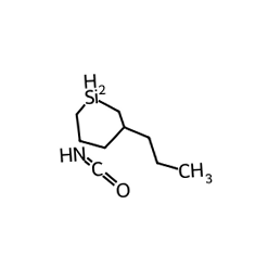 CCCC1CCC[SiH2]C1.N=C=O